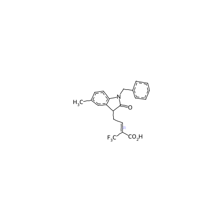 Cc1ccc2c(c1)C(C/C=C(/C(=O)O)C(F)(F)F)C(=O)N2Cc1ccccc1